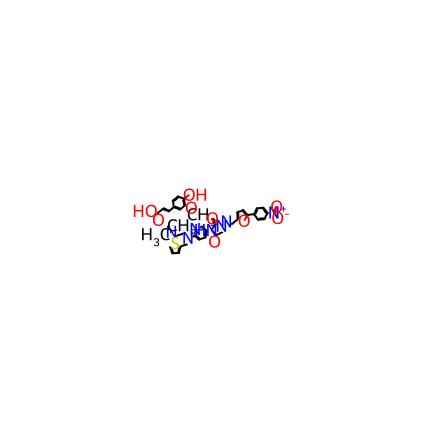 CN(C)CCN(Cc1cccs1)c1ccccn1.COc1cc(/C=C/C(=O)O)ccc1O.O=C1CN(N=Cc2ccc(-c3ccc([N+](=O)[O-])cc3)o2)C(=O)N1